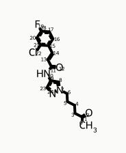 CC(=O)CCCCn1cc(NC(=O)/C=C/c2ccc(F)cc2Cl)cn1